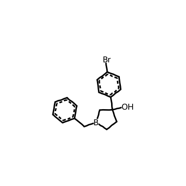 OC1(c2ccc(Br)cc2)CCB(Cc2ccccc2)C1